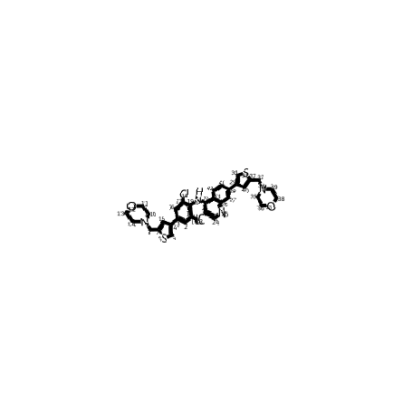 Cc1cc(-c2csc(CN3CCOCC3)c2)cc(Cl)c1Nc1c(C#N)cnc2cc(-c3csc(CN4CCOCC4)c3)ccc12